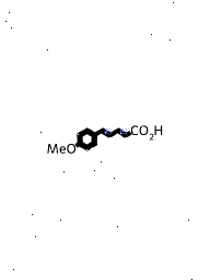 COc1ccc(/C=C/C=C/C(=O)O)cc1